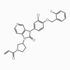 C=CC(=O)N1CCC(n2c(=O)n(-c3ccc(OCc4ccccc4F)c(Cl)c3)c3cnccc32)C1